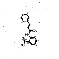 O=C(C=Cc1ccccn1)Nc1ccccc1C(=O)O